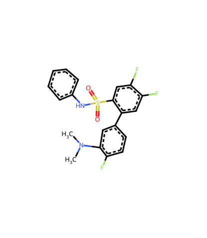 CN(C)c1cc(-c2cc(F)c(F)cc2S(=O)(=O)Nc2ccccc2)ccc1F